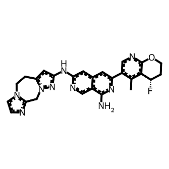 Cc1c(-c2cc3cc(Nc4cc5n(n4)Cc4nccn4CC5)ncc3c(N)n2)cnc2c1[C@@H](F)CCO2